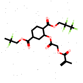 C=C(C)C(=O)OCC(=O)OC1CC(C(=O)OCC(C)(F)F)CCC1C(=O)OCC(F)(F)C(F)(F)F